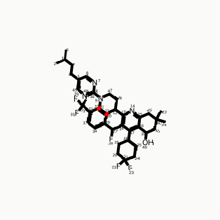 CC(C)CCc1cnc(N2CCC(c3nc4c(c(C5CCC(F)(F)CC5)c3C(F)c3ccc(C(F)(F)F)cc3)C(O)CC(C)(C)C4)CC2)nc1